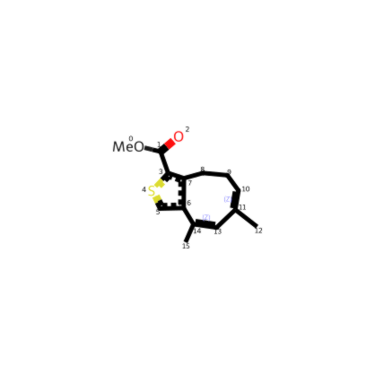 COC(=O)c1scc2c1CC/C=C(C)\C=C/2C